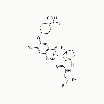 CCC(CC)CNC(=O)[C@H]1[C@@H]2CC[C@@H](C2)[C@H]1NC(=O)c1cc(O[C@H]2CC[C@@](C)(C(=O)O)CC2)c(C#N)cc1OC